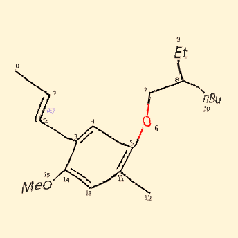 C/C=C/c1cc(OCC(CC)CCCC)c(C)cc1OC